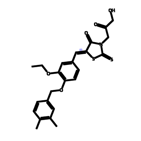 CCOc1cc(/C=C2\SC(=S)N(CC(=O)CO)C2=O)ccc1OCc1ccc(C)c(C)c1